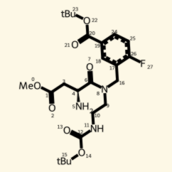 COC(=O)C[C@H](N)C(=O)N(CCNC(=O)OC(C)(C)C)Cc1cc(C(=O)OC(C)(C)C)ccc1F